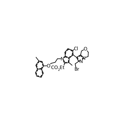 CCOC(=O)c1c(C)c2c(-c3c(CBr)nn4c3COCC4)c(Cl)ccc2n1CCCOc1cc(C)cc2ccccc12